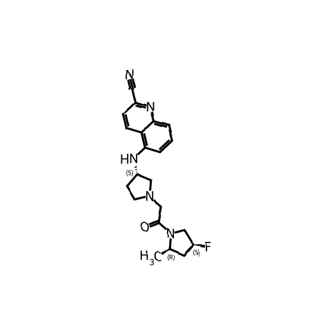 C[C@@H]1C[C@H](F)CN1C(=O)CN1CC[C@H](Nc2cccc3nc(C#N)ccc23)C1